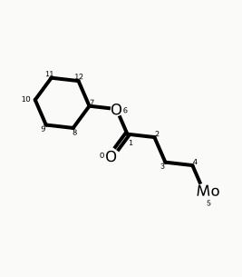 O=C(CC[CH2][Mo])OC1CCCCC1